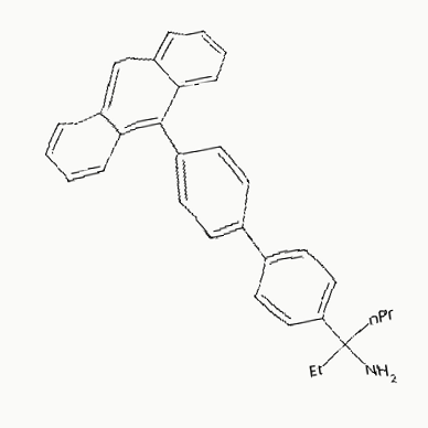 CCCC(N)(CC)c1ccc(-c2ccc(-c3c4ccccc4cc4ccccc34)cc2)cc1